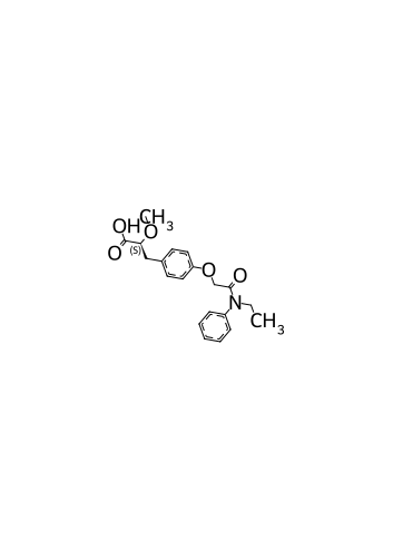 CCN(C(=O)COc1ccc(C[C@H](OC)C(=O)O)cc1)c1ccccc1